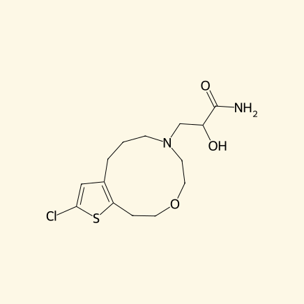 NC(=O)C(O)CN1CCCc2cc(Cl)sc2CCOCC1